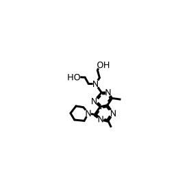 Cc1nc(N2CCCCC2)c2nc(N(CCO)CCO)nc(C)c2n1